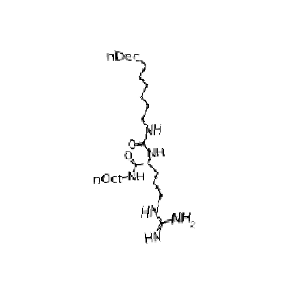 CCCCCCCCCCCCCCCCNC(=O)NC(CCCNC(=N)N)C(=O)NCCCCCCCC